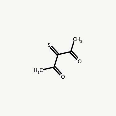 CC(=O)C(=S)C(C)=O